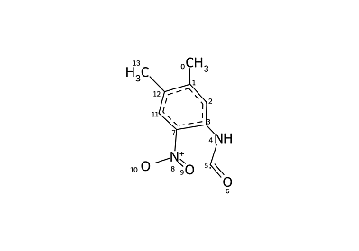 Cc1cc(N[C]=O)c([N+](=O)[O-])cc1C